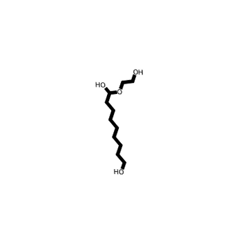 OCCCCCCCCC(O)OCCO